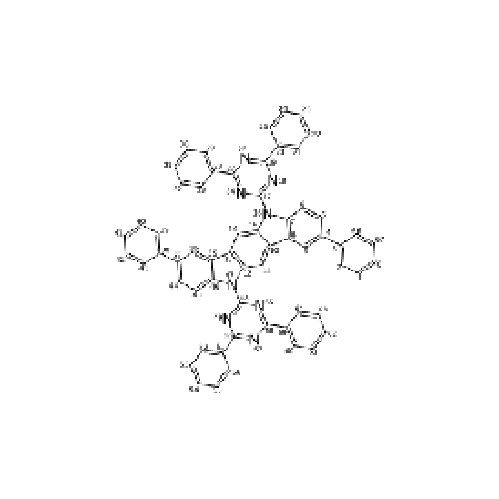 c1ccc(-c2ccc3c(c2)c2cc4c(cc2n3-c2nc(-c3ccccc3)nc(-c3ccccc3)n2)c2cc(-c3ccccc3)ccc2n4-c2nc(-c3ccccc3)nc(-c3ccccc3)n2)cc1